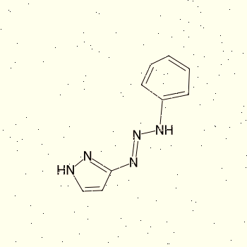 c1ccc(NN=Nc2cc[nH]n2)cc1